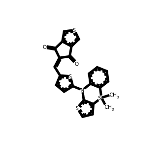 C[Si]1(C)c2ccccc2N(c2ccc(C=C3C(=O)c4cscc4C3=O)s2)c2sccc21